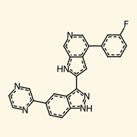 Fc1cccc(-c2cncc3[nH]c(-c4n[nH]c5ccc(-c6cnccn6)cc45)cc23)c1